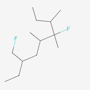 CCC(CF)CC(C)C(C)(F)C(C)CC